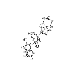 N/C(=N\S(=O)(=O)c1c(Cl)nc2sccn12)N1CC2(C=N1)CCOCC2